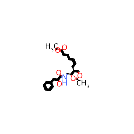 COC(=O)CCC/C=C\C[C@H]1CO[C@@H](C)O[C@H]1CNC(=O)C(=O)Cc1ccccc1